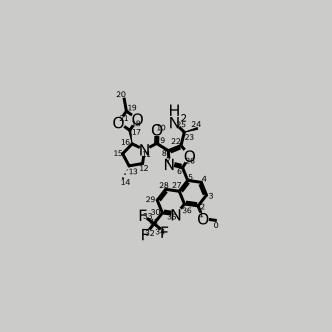 COc1ccc(-c2nc(C(=O)N3C[C@H](C)C[C@H]3C3OC(C)O3)c([C@H](C)N)o2)c2ccc(C(F)(F)F)nc12